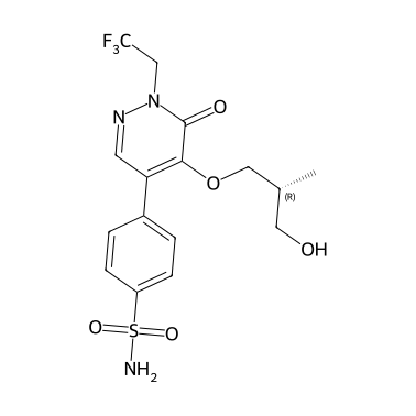 C[C@H](CO)COc1c(-c2ccc(S(N)(=O)=O)cc2)cnn(CC(F)(F)F)c1=O